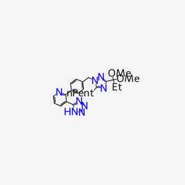 CCCCCc1nc(C(CC)(OC)OC)nn1Cc1ccc(-c2ncccc2-c2nnn[nH]2)cc1